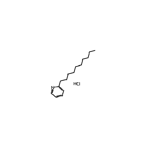 CCCCCCCCCCc1ccccn1.Cl